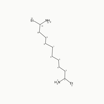 CCC(N)CCCCCCCCC(N)CC